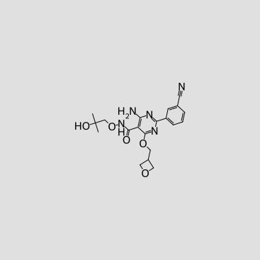 CC(C)(O)CONC(=O)c1c(N)nc(-c2cccc(C#N)c2)nc1OCC1COC1